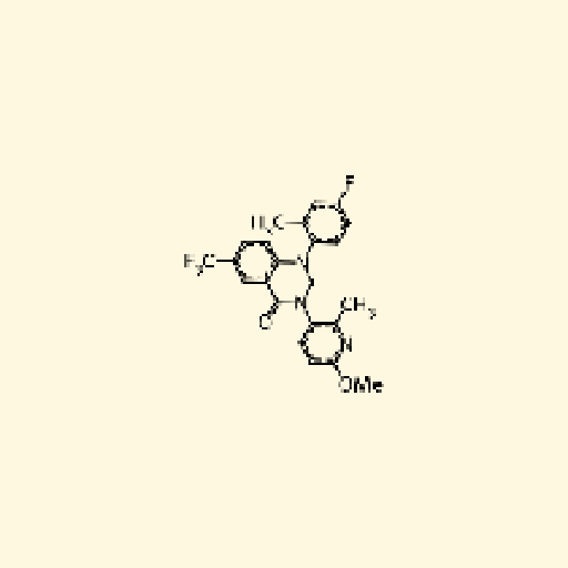 COc1ccc(N2CN(c3ccc(F)cc3C)c3ccc(C(F)(F)F)cc3C2=O)c(C)n1